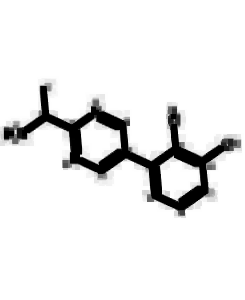 CC(N)c1ncc(-c2cccc(Cl)c2Cl)cn1